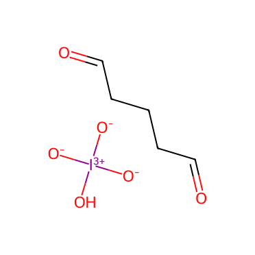 O=CCCCC=O.[O-][I+3]([O-])([O-])O